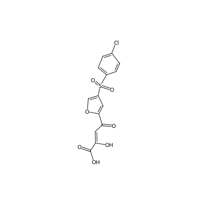 O=C(O)/C(O)=C/C(=O)c1cc(S(=O)(=O)c2ccc(Cl)cc2)co1